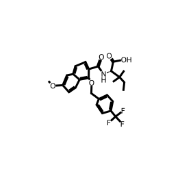 CCC(C)(C)[C@H](NC(=O)c1ccc2cc(OC)ccc2c1OCc1ccc(C(F)(F)F)cc1)C(=O)O